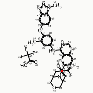 C=C(F)C(=O)N1C2C=C(c3ccc4ncnc(Nc5ccc(Oc6ccc7c(c6)nnn7C)c(C)c5)c4n3)CC1COC2.O=C(O)C(F)(F)F